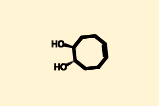 O[C@H]1CC/C=C\CC[C@@H]1O